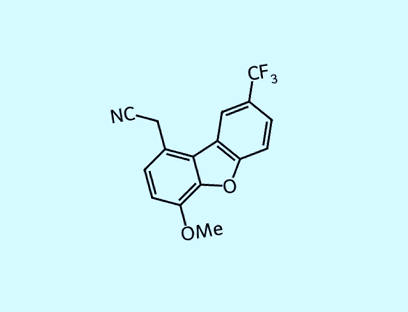 COc1ccc(CC#N)c2c1oc1ccc(C(F)(F)F)cc12